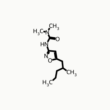 CCCC(C)Cc1cc(NC(=O)N(C)C)no1